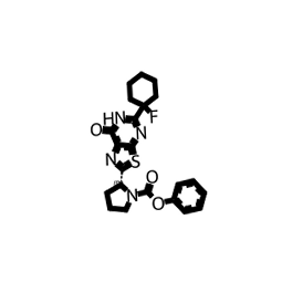 O=C(Oc1ccccc1)N1CCC[C@@H]1c1nc2c(=O)[nH]c(C3(F)CCCCC3)nc2s1